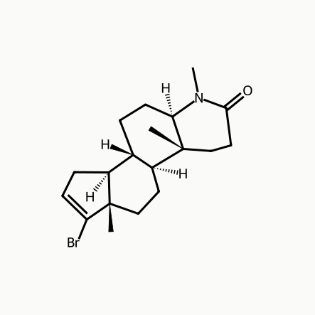 CN1C(=O)CC[C@]2(C)[C@H]3CC[C@]4(C)C(Br)=CC[C@H]4[C@@H]3CC[C@@H]12